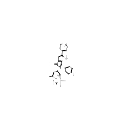 Cc1cc(N2C(=O)c3cc(C4=CCOCC4)n(C)c3[C@H]2c2ccc(Cl)cc2)cn2c(C)nnc12